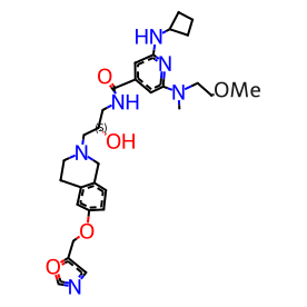 COCCN(C)c1cc(C(=O)NC[C@H](O)CN2CCc3cc(OCc4cnco4)ccc3C2)cc(NC2CCC2)n1